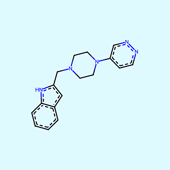 c1ccc2[nH]c(CN3CCN(c4ccnnc4)CC3)cc2c1